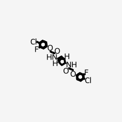 O=C(COc1ccc(Cl)c(F)c1)N[C@@H]1C[C@@H]2C[C@H]1C[C@H]2NC(=O)COc1ccc(Cl)c(F)c1